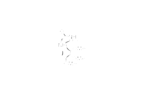 COc1ccc(C(=O)[C@@](C)(N)C(N)=O)c(OC)c1OC